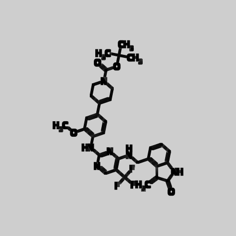 C=C1C(=O)Nc2cccc(CNc3nc(Nc4ccc(C5=CCN(C(=O)OC(C)(C)C)CC5)cc4OC)ncc3C(F)(F)F)c21